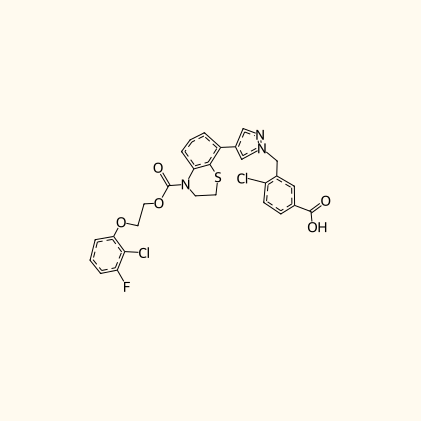 O=C(O)c1ccc(Cl)c(Cn2cc(-c3cccc4c3SCCN4C(=O)OCCOc3cccc(F)c3Cl)cn2)c1